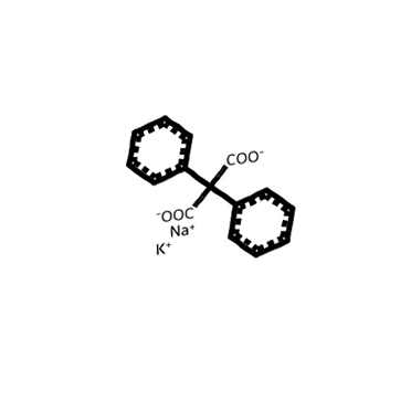 O=C([O-])C(C(=O)[O-])(c1ccccc1)c1ccccc1.[K+].[Na+]